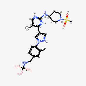 BC(B)(B)NCc1ccc(-n2cc(-c3nc(NC4CCN(S(C)(=O)=O)CC4)ncc3C(F)(F)F)cn2)c(C)c1